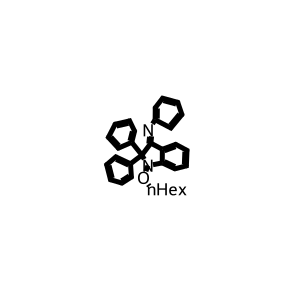 [CH2]CCCCCON1c2ccccc2C(=Nc2ccccc2)C1(c1ccccc1)c1ccccc1